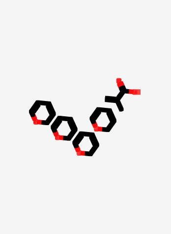 C1=CCOC=C1.C1=CCOC=C1.C1=CCOC=C1.C1=CCOC=C1.C=C(C)C(=O)O